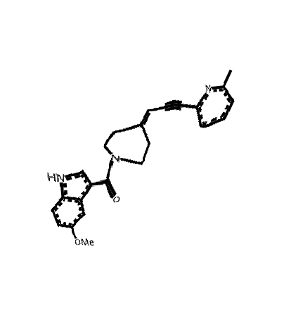 COc1ccc2[nH]cc(C(=O)N3CCC(=CC#Cc4cccc(C)n4)CC3)c2c1